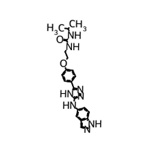 CC(C)NC(=O)NCCOc1ccc(-c2nnc(Nc3ccc4[nH]ncc4c3)[nH]2)cc1